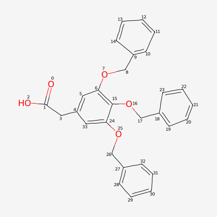 O=C(O)Cc1cc(OCc2ccccc2)c(OCc2ccccc2)c(OCc2ccccc2)c1